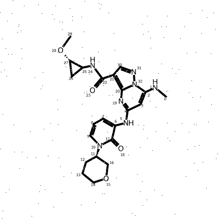 CNc1cc(Nc2cccn([C@@H]3CCCOC3)c2=O)nc2c(C(=O)NC3C[C@@H]3OC)cnn12